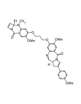 CCC12C=CN1C(=O)c1cc(OC)c(OCCCOc3cc4c(cc3OC)C(=O)N3C=C(c5ccc(OC)cc5)C[C@H]3C=N4)cc1N2C